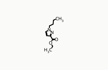 CCCCn1ccc(C(=O)OCC)n1